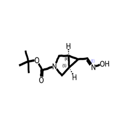 CC(C)(C)OC(=O)N1C[C@@H]2C(/C=N/O)[C@@H]2C1